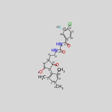 Cc1cc(C)c(C2C(=O)CC(CCNC(=O)NC(=O)c3ccc(Cl)c(F)c3)C2=O)c(C)c1